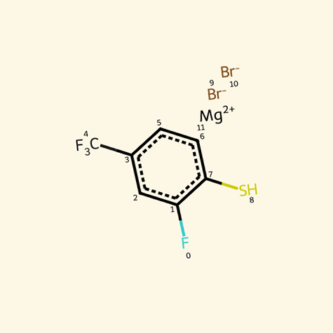 Fc1cc(C(F)(F)F)ccc1S.[Br-].[Br-].[Mg+2]